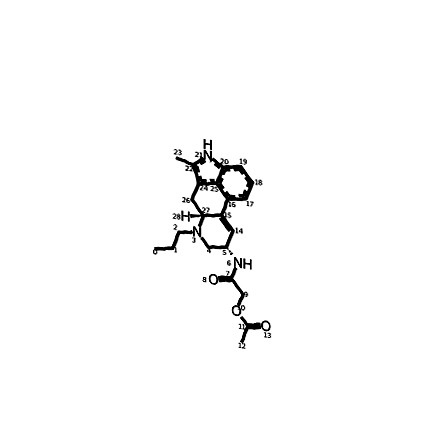 CCCN1C[C@@H](NC(=O)COC(C)=O)C=C2c3cccc4[nH]c(C)c(c34)C[C@H]21